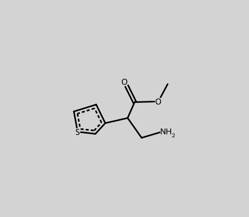 COC(=O)C(CN)c1ccsc1